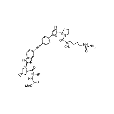 COC(=O)N[C@H](C(=O)N1CC2(CC2)C[C@H]1c1nc2cc(C#Cc3ccc(-c4c[nH]c([C@@H]5CCCN5C(=O)[C@@H](C)CCCCNC(N)=O)n4)cc3)ccc2[nH]1)C(C)C